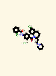 CC1(CCN2CCCCC2)CCCc2cc(Cl)ccc2N1C(=O)c1ccc(NC(=O)c2ccccc2Cl)cc1.Cl